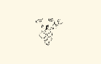 C=CC(=O)N1CCN(C2NC(OCC3CCCN3C)NC3(C4CCCCCCC4)C[C@]4(CCC23)Cc2c(C)cccc2CS4)CC1CC#N